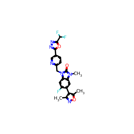 Cc1noc(C)c1-c1cc2c(cc1F)n(Cc1ccc(-c3nnc(C(F)F)o3)cn1)c(=O)n2C